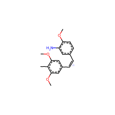 COc1ccc(/C=C\c2cc(OC)c(C)c(OC)c2)cc1N